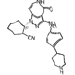 N#CC1CCCC[C@@H]1n1nc(Nc2ccc(C3CCNCC3)cc2)c2c(=O)[nH]ccc21